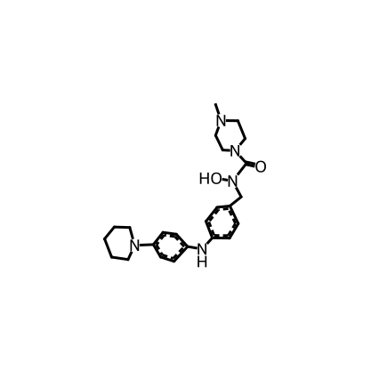 CN1CCN(C(=O)N(O)Cc2ccc(Nc3ccc(N4CCCCC4)cc3)cc2)CC1